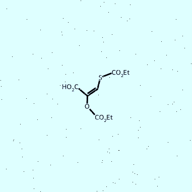 CCOC(=O)OC(=CSC(=O)OCC)C(=O)O